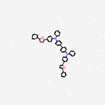 c1ccc(-c2ccc(-c3ccc(N(c4ccccc4)c4ccc(-c5ccc(N(c6ccccc6)c6ccc(C7CCC(c8ccccc8)O7)cc6)cc5)cc4)cc3)o2)cc1